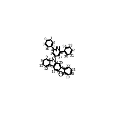 c1ccc(-c2cc(-n3c4ccccc4c4cc5oc6ccccc6c5cc43)cc(-c3ccccc3)n2)cc1